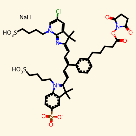 CC1(C)C(=CC=C(C=CC2=[N+](CCCCS(=O)(=O)O)c3ccc(S(=O)(=O)[O-])cc3C2(C)C)c2cccc(CCCCC(=O)ON3C(=O)CCC3=O)c2)N=C2C1=CC(Cl)=CN2CCCCS(=O)(=O)O.[NaH]